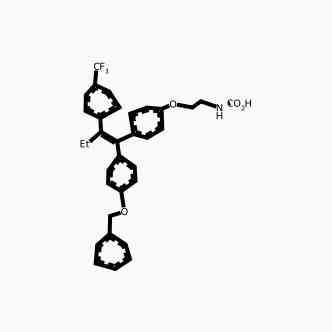 CCC(=C(c1ccc(OCCNC(=O)O)cc1)c1ccc(OCc2ccccc2)cc1)c1ccc(C(F)(F)F)cc1